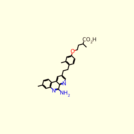 Cc1ccc2c(c1)nc(N)c1ncc(CCc3ccc(OCCC(C)C(=O)O)cc3C)cc12